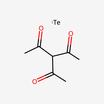 CC(=O)C(C(C)=O)C(C)=O.[Te]